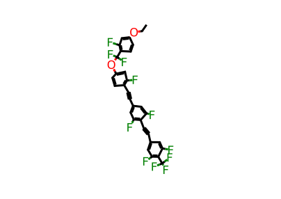 CCOc1ccc(C(F)(F)Oc2ccc(C#Cc3cc(F)c(C#Cc4cc(F)c(C(F)(F)F)c(F)c4)c(F)c3)c(F)c2)c(F)c1